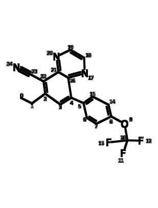 CCc1cc(-c2ccc(OC(F)(F)F)cc2)c2nccnc2c1C#N